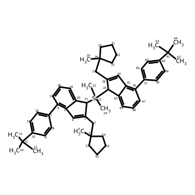 CC1(CC2=Cc3c(-c4ccc(C(C)(C)C)cc4)cccc3C2[Si](C)(C)C2C(CC3(C)CCCC3)=Cc3c(-c4ccc(C(C)(C)C)cc4)cccc32)CCCC1